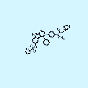 CN(C(=O)Cn1ccnc1)c1ccc(-c2cnc3[nH]c4ccc(OS(=O)(=O)c5ccco5)cc4c3c2-c2ccccc2)cc1